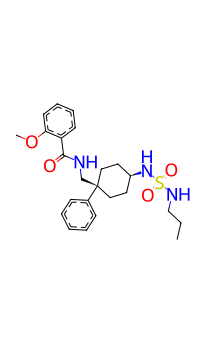 CCCNS(=O)(=O)N[C@H]1CC[C@](CNC(=O)c2ccccc2OC)(c2ccccc2)CC1